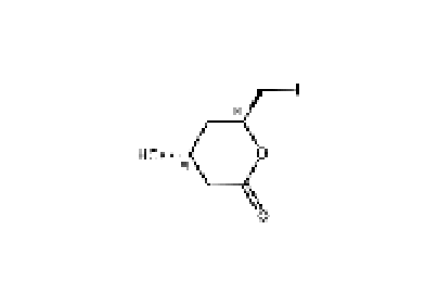 O=C1C[C@H](O)C[C@@H](CI)O1